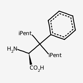 CCCC(C)C(c1ccccc1)(C(C)CCC)[C@H](N)C(=O)O